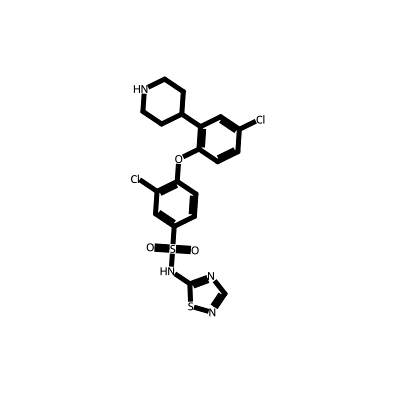 O=S(=O)(Nc1ncns1)c1ccc(Oc2ccc(Cl)cc2C2CCNCC2)c(Cl)c1